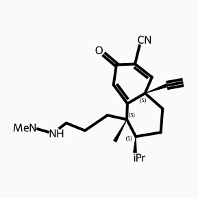 C#C[C@]12C=C(C#N)C(=O)C=C1[C@@](C)(CCCNNC)[C@H](C(C)C)CC2